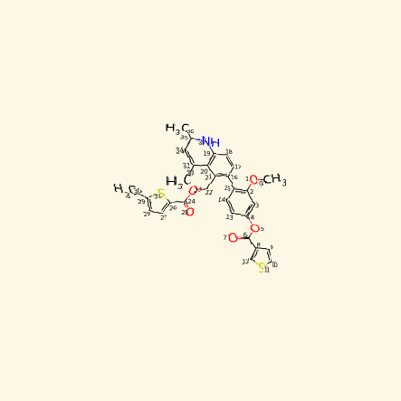 COc1cc(OC(=O)c2ccsc2)ccc1-c1ccc2c(c1COC(=O)c1ccc(C)s1)C(C)=CC(C)N2